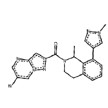 CC1c2c(cccc2-c2cnn(C)c2)CCN1C(=O)c1cc2ncc(Br)cn2n1